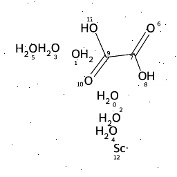 O.O.O.O.O.O.O=C(O)C(=O)O.[Sc]